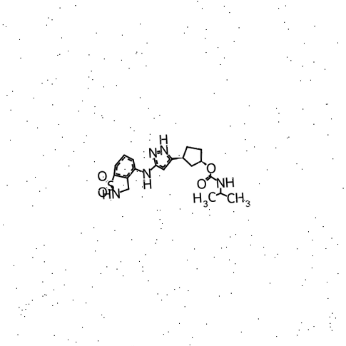 CC(C)NC(=O)O[C@@H]1CC[C@H](c2cc(Nc3cccc4c3CNS4(=O)=O)n[nH]2)C1